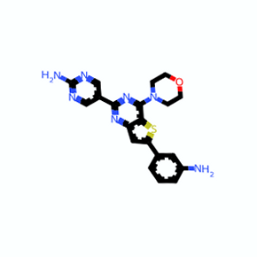 Nc1cccc(-c2cc3nc(-c4cnc(N)nc4)nc(N4CCOCC4)c3s2)c1